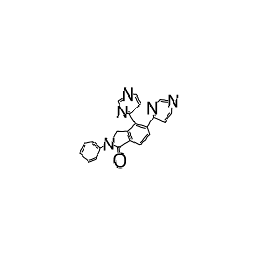 O=C1c2ccc(-c3ccncn3)c(-c3ccncn3)c2CN1c1ccccc1